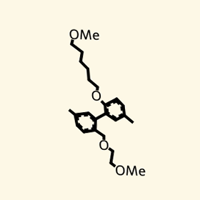 COCCCCCCOc1ccc(C)cc1-c1cc(C)ccc1COCCOC